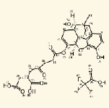 CN1CC[C@]23c4c5ccc(O)c4O[C@H]2C(OC(=O)CCC(=O)O[C@@H](CC(=O)O)C(=O)O)=CC[C@@]3(O)[C@H]1C5.O=C(O)C(F)(F)F